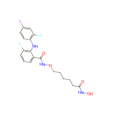 O=C(CCCCCONC(=O)c1cccc(F)c1Nc1ccc(I)cc1F)NO